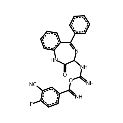 N#Cc1cc(C(=N)OC(=N)NC2N=C(c3ccccc3)c3ccccc3NC2=O)ccc1F